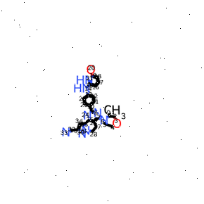 C[C@H]1COCCN1c1nc(-c2ccc(Nc3cccc(=O)[nH]3)cc2)nc2c1CCn1nc(C#N)cc1-2